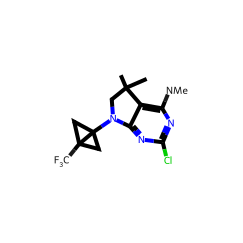 CNc1nc(Cl)nc2c1C(C)(C)CN2C12CC1(C(F)(F)F)C2